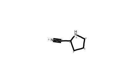 N#CC1C[CH]CN1